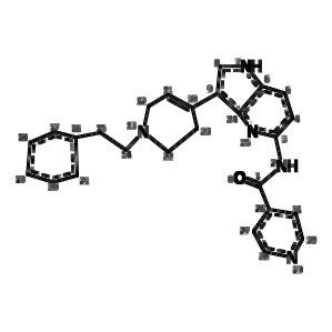 O=C(Nc1ccc2[nH]cc(C3=CCN(CCc4ccccc4)CC3)c2n1)c1ccncc1